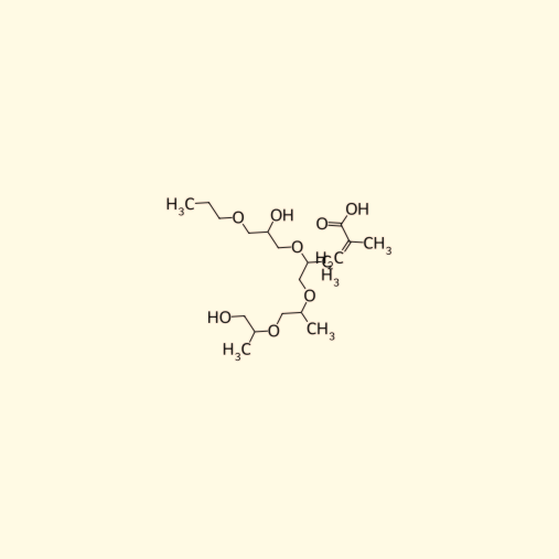 C=C(C)C(=O)O.CCCOCC(O)COC(C)COC(C)COC(C)CO